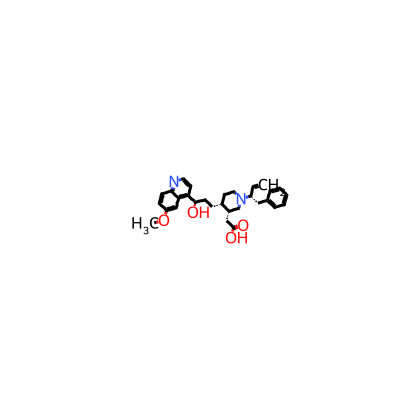 C=C[C@H](Cc1ccccc1)N1CC[C@@H](CC[C@@H](O)c2ccnc3ccc(OC)cc23)[C@@H](CC(=O)O)C1